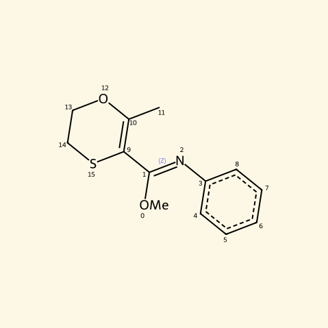 CO/C(=N\c1ccccc1)C1=C(C)OCCS1